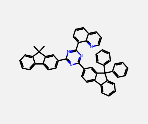 CC1(C)c2ccccc2-c2ccc(-c3nc(-c4ccc5c(c4)C(c4ccccc4)(c4ccccc4)c4ccccc4-5)nc(-c4cccc5cccnc45)n3)cc21